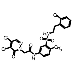 Cc1ccc(NC(=O)Cn2ncc(Cl)c(Cl)c2=O)cc1S(=O)(=O)NCCc1ccccc1Cl